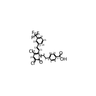 O=C(O)c1ccc(CCn2c(/C=C/c3cccc(C(F)(F)F)c3)c(Cl)cc(Cl)c2=O)cc1